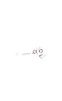 CCCCCCCOc1ccc(OC)c(CN[C@H]2CCCN[C@H]2c2ccccc2)c1